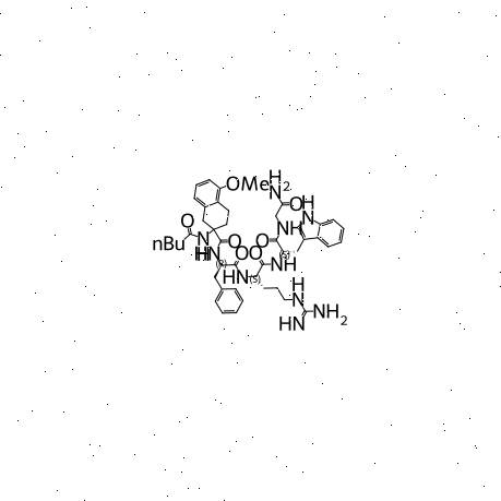 CCCCC(=O)NC1(C(=O)N[C@H](Cc2ccccc2)C(=O)N[C@@H](CCCNC(=N)N)C(=O)N[C@@H](Cc2c[nH]c3ccccc23)C(=O)NCC(N)=O)CCc2c(cccc2OC)C1